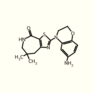 CC1(C)CNC(=O)c2sc(N3CCOc4ccc(N)cc43)nc2C1